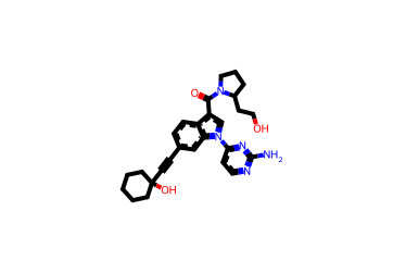 Nc1nccc(-n2cc(C(=O)N3CCCC3CCO)c3ccc(C#CC4(O)CCCCC4)cc32)n1